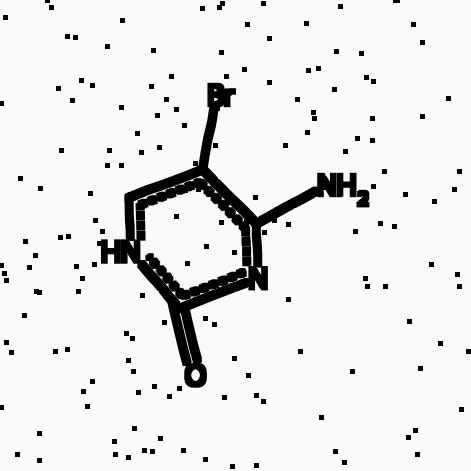 Nc1nc(=O)[nH]cc1Br